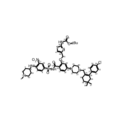 CN1CCC(Nc2ccc(S(=O)(=O)NC(=O)c3ccc(N4CCN(CC5=C(c6ccc(Cl)cc6)CC(C)(C)CC5)CC4)cc3OCc3csc(NC(=O)OC(C)(C)C)n3)cc2[N+](=O)[O-])CC1